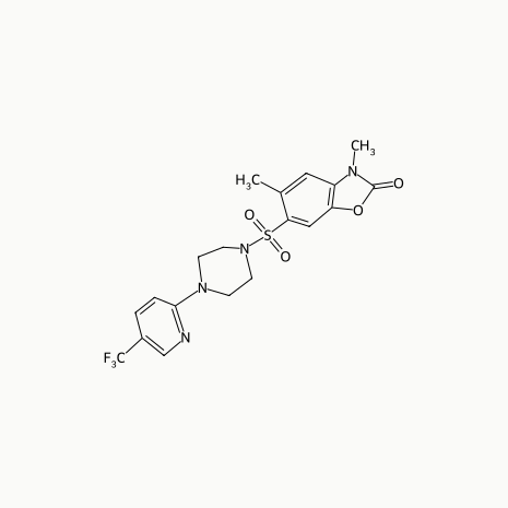 Cc1cc2c(cc1S(=O)(=O)N1CCN(c3ccc(C(F)(F)F)cn3)CC1)oc(=O)n2C